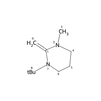 C=C1N(C)CCCN1C(C)(C)C